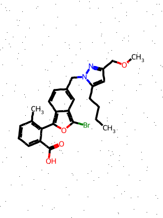 CCCCc1cc(COC)nn1Cc1ccc2c(-c3c(C)cccc3C(=O)O)oc(Br)c2c1